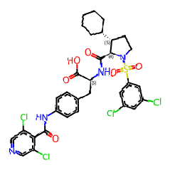 O=C(Nc1ccc(C[C@H](NC(=O)[C@H]2[C@H](C3CCCCC3)CCN2S(=O)(=O)c2cc(Cl)cc(Cl)c2)C(=O)O)cc1)c1c(Cl)cncc1Cl